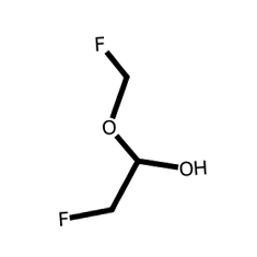 OC(CF)OCF